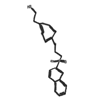 O=S(=O)(CCCc1ccc(CCO)cc1)c1ccc2ccccc2c1